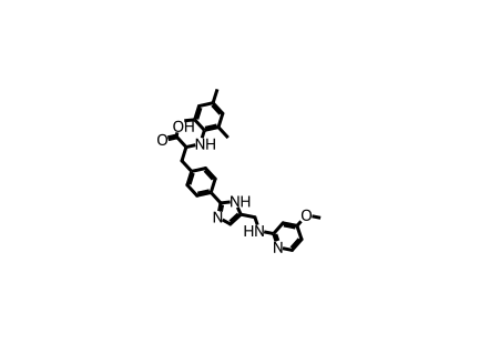 COc1ccnc(NCc2cnc(-c3ccc(CC(Nc4c(C)cc(C)cc4C)C(=O)O)cc3)[nH]2)c1